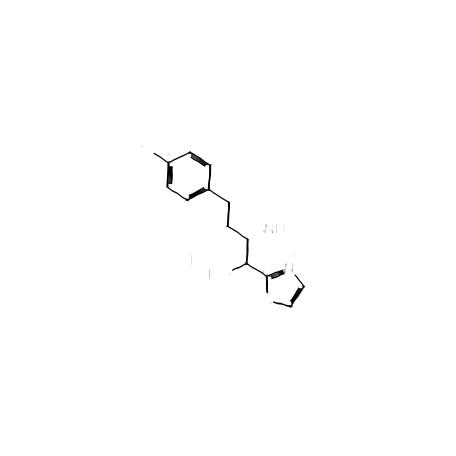 Cl.N[C@@H](CCc1ccc(F)cc1)C(O)c1nccs1